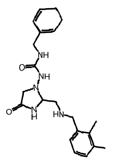 Cc1cccc(CNCC2NC(=O)CN2NC(=O)NCC2=CCCC=C2)c1C